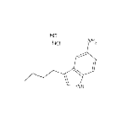 CCCCc1c[nH]c2ccc(N)cc12.Cl.Cl